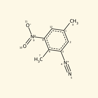 Cc1cc([N+]#N)c(C)c([N+](=O)[O-])c1